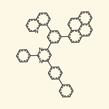 c1ccc(-c2ccc(-c3cc(-c4cc(-c5ccc6ccc7cccc8ccc5c6c78)cc(-c5cccc6cccnc56)c4)nc(-c4ccccc4)n3)cc2)cc1